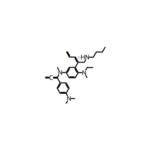 C=C=C(c1ccc(N(C)C)cc1)N(C)c1ccc(N(C)CC)c(/C(=C\C=C)CNCCCC)c1